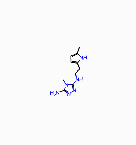 Cc1ccc(CCNc2nnc(N)n2C)[nH]1